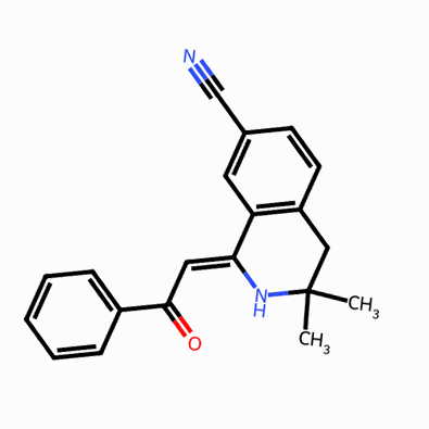 CC1(C)Cc2ccc(C#N)cc2C(=CC(=O)c2ccccc2)N1